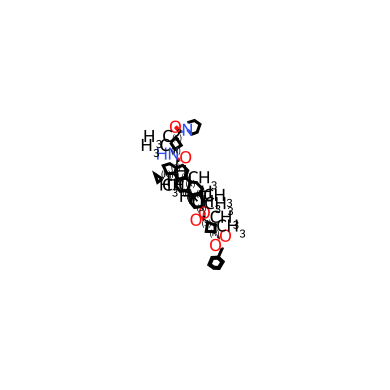 CC1([C@@H]2CC[C@]3(C(=O)N[C@@H]4C[C@H](C(=O)N5CCCCC5)C4(C)C)CC[C@]4(C)[C@H](CC[C@@H]5[C@@]6(C)CC[C@H](OC(=O)[C@H]7C[C@@H](C(=O)OCc8ccccc8)C7(C)C)C(C)(C)[C@@H]6CC[C@]54C)[C@@H]23)CC1